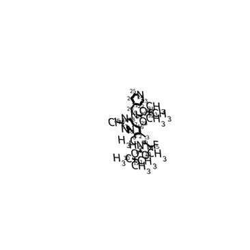 Cc1c(C[C@@H](NC(=O)OC(C)(C)C)[C@H](C)F)cc2c(N(Cc3ccncc3)C(=O)OC(C)(C)C)nc(Cl)nn12